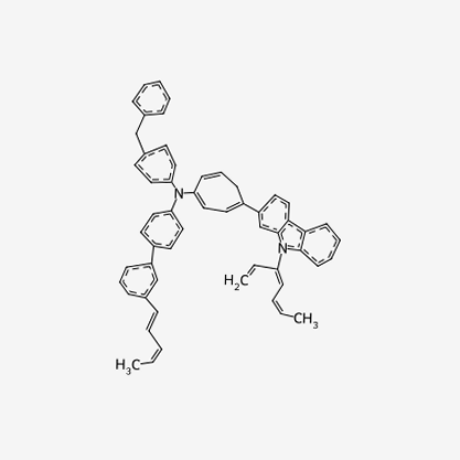 C=C/C(=C\C=C/C)n1c2ccccc2c2ccc(C3=CC=C(N(c4ccc(Cc5ccccc5)cc4)c4ccc(-c5cccc(/C=C/C=C\C)c5)cc4)C=CC3)cc21